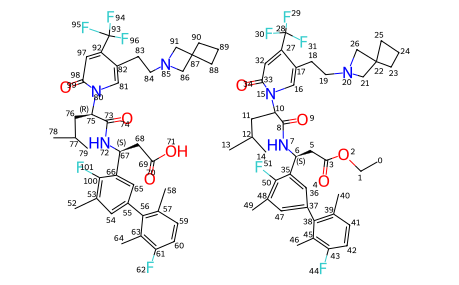 CCOC(=O)C[C@H](NC(=O)C(CC(C)C)n1cc(CCN2CC3(CCC3)C2)c(C(F)(F)F)cc1=O)c1cc(-c2c(C)ccc(F)c2C)cc(C)c1F.Cc1cc(-c2c(C)ccc(F)c2C)cc([C@H](CC(=O)O)NC(=O)[C@@H](CC(C)C)n2cc(CCN3CC4(CCC4)C3)c(C(F)(F)F)cc2=O)c1F